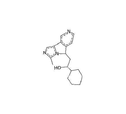 Cc1ncc2n1C(CC(O)C1CCCCC1)c1ccncc1-2